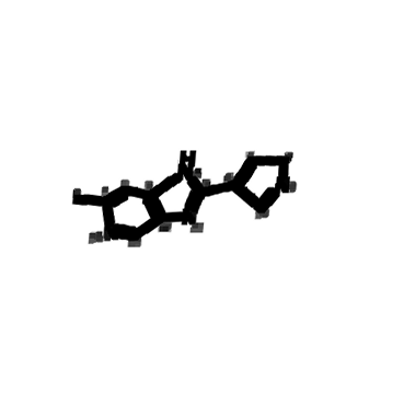 Cc1cc2[nH]c(C3=CCN=C3)nc2cn1